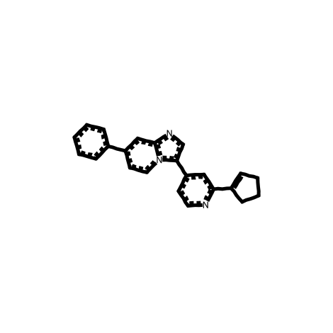 C1=C(c2cc(-c3cnc4cc(-c5ccccc5)ccn34)ccn2)CCC1